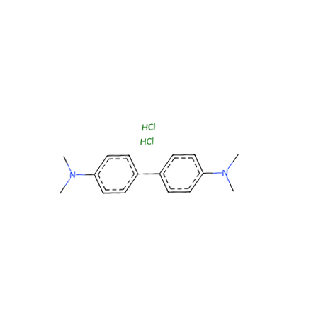 CN(C)c1ccc(-c2ccc(N(C)C)cc2)cc1.Cl.Cl